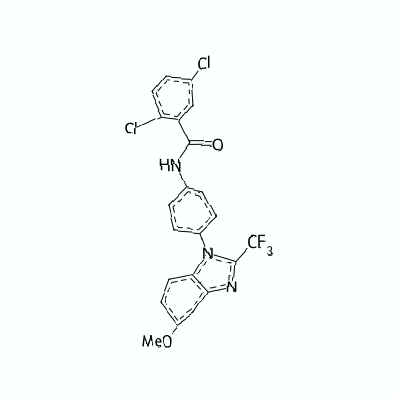 COc1ccc2c(c1)nc(C(F)(F)F)n2-c1ccc(NC(=O)c2cc(Cl)ccc2Cl)cc1